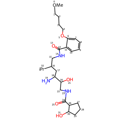 COCCCCOc1ccccc1C(=O)NCC(CC(N)C(O)CNC(=O)C1CCCC1O)C(C)C